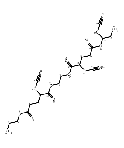 CCCOC(=O)CCC(OC#N)C(=O)OCCOC(=O)C(CCC(=O)OC(CC)OC#N)OC#N